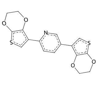 c1cc(-c2csc3c2OCCO3)ncc1-c1csc2c1OCCO2